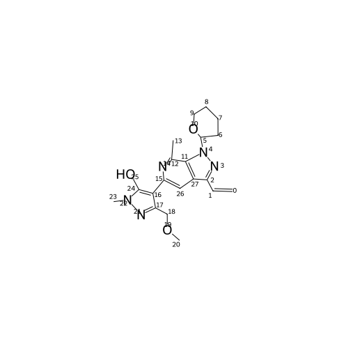 C=Cc1nn(C2CCCCO2)c2c(C)nc(-c3c(COC)nn(C)c3O)cc12